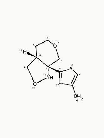 Bc1csc([C@]23COCC[C@H]2CON3)c1